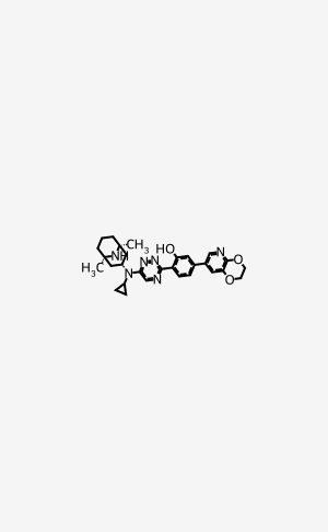 C[C@]12CCC[C@](C)(C[C@@H](N(c3cnc(-c4ccc(-c5cnc6c(c5)OCCO6)cc4O)nn3)C3CC3)C1)N2